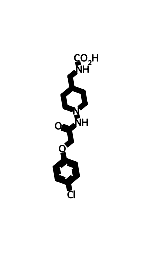 O=C(O)NCC1CCN(NC(=O)COc2ccc(Cl)cc2)CC1